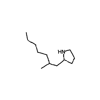 CCCCCC(C)CC1CCCN1